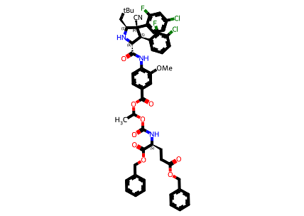 COc1cc(C(=O)OC(C)OC(=O)N[C@@H](CCC(=O)OCc2ccccc2)C(=O)OCc2ccccc2)ccc1NC(=O)[C@@H]1N[C@@H](CC(C)(C)C)[C@](C#N)(c2ccc(Cl)cc2F)[C@H]1c1cccc(Cl)c1F